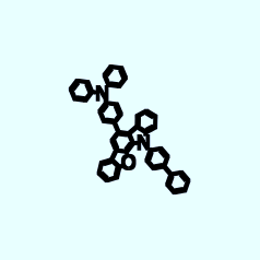 c1ccc(-c2ccc(-n3c4ccccc4c4c(-c5ccc(N(c6ccccc6)c6ccccc6)cc5)cc5c6ccccc6oc5c43)cc2)cc1